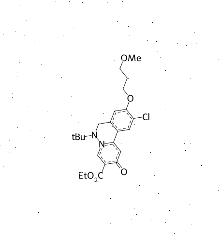 CCOC(=O)c1cn2c(cc1=O)-c1cc(Cl)c(OCCCOC)cc1CN2C(C)(C)C